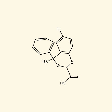 CC1(c2ccccc2)OC(C(=O)O)Oc2ccc(Cl)cc21